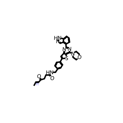 C/C=C/C(=O)CCC(=O)NCc1ccc(-c2cc3nc(-c4cccc5[nH]ncc45)nc(N4CCOCC4)c3s2)cc1